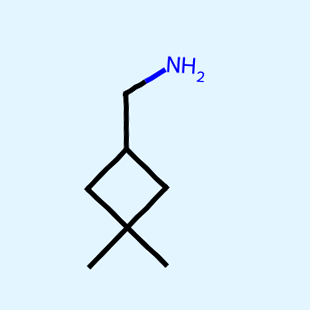 CC1(C)CC(CN)C1